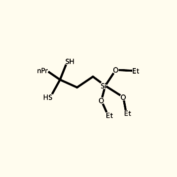 CCCC(S)(S)CC[Si](OCC)(OCC)OCC